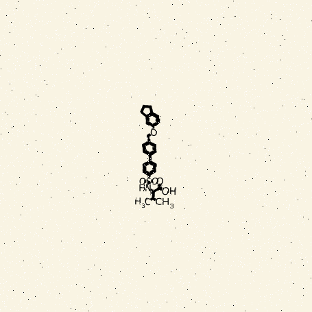 CC(C)[C@@H](NS(=O)(=O)c1ccc(-c2ccc(COc3ccc4c(c3)CCC4)cc2)cc1)C(=O)O